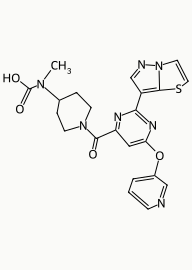 CN(C(=O)O)C1CCN(C(=O)c2cc(Oc3cccnc3)nc(-c3cnn4ccsc34)n2)CC1